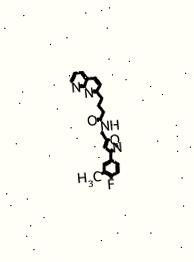 Cc1cc(-c2cc(CNC(=O)CCCc3ccc4cccnc4n3)on2)ccc1F